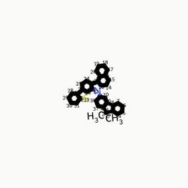 CC1(C)c2ccccc2-c2cc(-n3c4ccc5ccccc5c4c4ccc5c6ccccc6sc5c43)ccc21